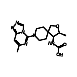 Cc1cc2nncn2c(N2CCC3(CC2)CO[C@@H](C)[C@H]3NC(=O)O)n1